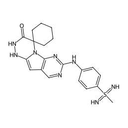 CS(=N)(=N)c1ccc(Nc2ncc3cc4n(c3n2)C2(CCCCC2)C(=O)NN4)cc1